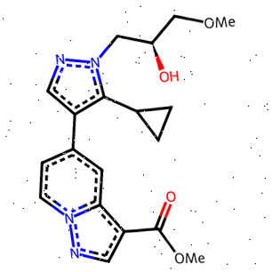 COC[C@@H](O)Cn1ncc(-c2ccn3ncc(C(=O)OC)c3c2)c1C1CC1